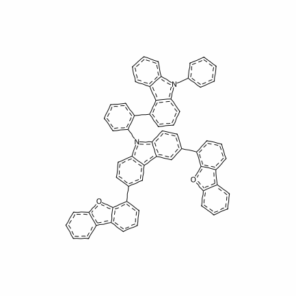 c1ccc(-n2c3ccccc3c3c(-c4ccccc4-n4c5ccc(-c6cccc7c6oc6ccccc67)cc5c5cc(-c6cccc7c6oc6ccccc67)ccc54)cccc32)cc1